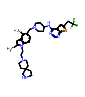 Cc1c(CN2CCC(Nc3ncnc4sc(CC(F)(F)F)cc34)CC2)ccc2c1cc(C)n2CCN1CCC2(CCNC2)CC1